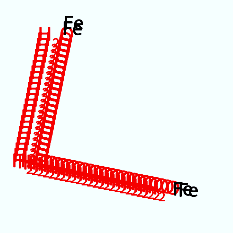 O.O.O.O.O.O.O.O.O.O.O.O.O.O.O.O.O.O.O.O.O.O.O.O.O.O.O.O.O.O.O.O.O.O.O.O.O.O.O.O.O.O.O.O.O.O.O.O.[Fe].[Fe].[Fe].[Fe]